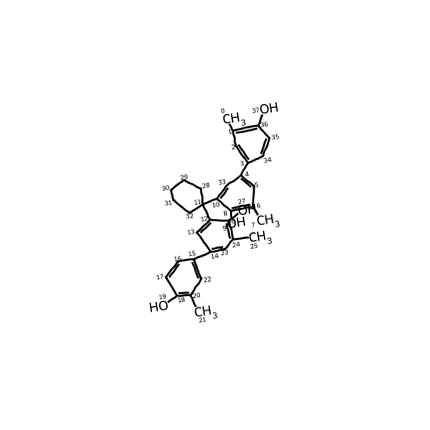 Cc1cc(-c2cc(C)c(O)c(C3(c4cc(-c5ccc(O)c(C)c5)cc(C)c4O)CCCCC3)c2)ccc1O